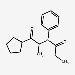 CCC(=O)N(c1ccccc1)C(C)C(=O)N1CCCC1